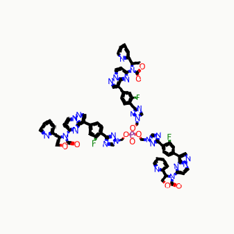 O=C1OCC(c2ccccn2)N1c1ccn2ncc(-c3ccc(-c4ncn(COP(=O)(OCn5cnc(-c6ccc(-c7cnn8ccc(N9C(=O)OCC9c9ccccn9)nc78)cc6F)n5)OCn5cnc(-c6ccc(-c7cnn8ccc(N9C(=O)OCC9c9ccccn9)nc78)cc6F)n5)n4)c(F)c3)c2n1